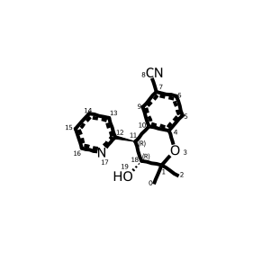 CC1(C)Oc2ccc(C#N)cc2[C@H](c2ccccn2)[C@H]1O